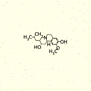 COc1cc2c(cc1O)CCN1CC(CC(C)C)[C@@H](O)C[C@H]21